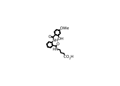 COc1ccc(C(=O)Nc2ccccc2C(=O)NCCCC(=O)O)c(O)c1